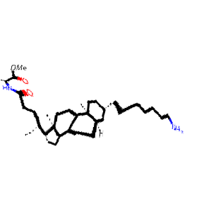 COC(=O)[C@H](NC(=O)CC[C@@H](C)[C@H]1CCC2C3CC[C@@H]4C[C@@H](CCCCCCCN)CC[C@]4(C)C3CC[C@@]21C)C(C)C